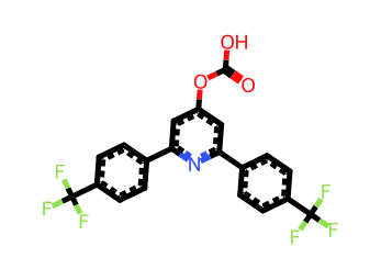 O=C(O)Oc1cc(-c2ccc(C(F)(F)F)cc2)nc(-c2ccc(C(F)(F)F)cc2)c1